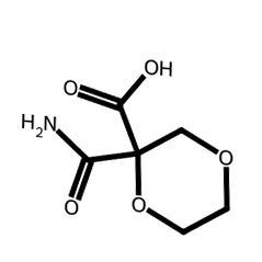 NC(=O)C1(C(=O)O)COCCO1